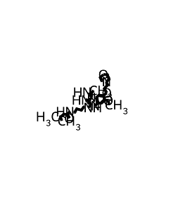 COc1cc2nc(NCCCCNC(=O)CC(C)C)c(=N)n(C(C)=N)c2cc1OCCN1CCOCC1